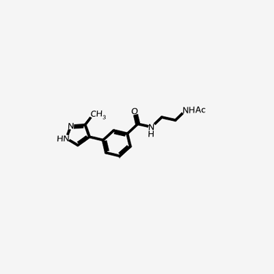 CC(=O)NCCNC(=O)c1c[c]cc(-c2c[nH]nc2C)c1